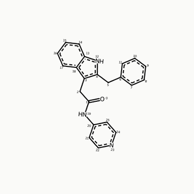 O=C(Cc1c(Cc2ccccc2)[nH]c2ccccc12)Nc1ccncc1